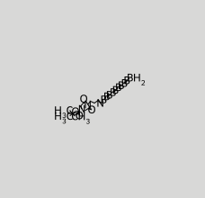 BB=BB=BB=BB=BB=NCCCN1C(=O)CN(C(=O)OC(C)(C)C)CC1=O